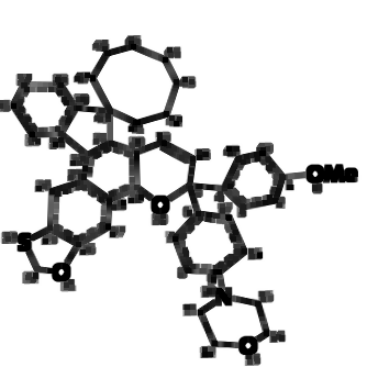 COc1ccc(C2(c3ccc(N4CCOCC4)cc3)C=Cc3c4c(c5cc6c(cc5c3O2)OCS6)-c2ccccc2C42CCCCCCC2)cc1